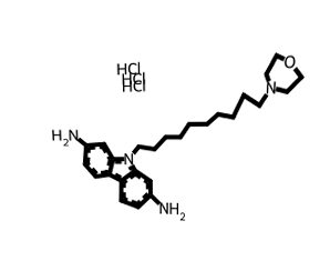 Cl.Cl.Cl.Nc1ccc2c3ccc(N)cc3n(CCCCCCCCCCN3CCOCC3)c2c1